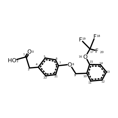 O=C(O)Cc1ccc(OCc2ccccc2OC(F)(F)F)cc1